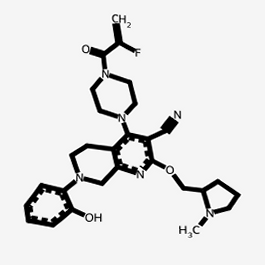 C=C(F)C(=O)N1CCN(c2c(C#N)c(OCC3CCCN3C)nc3c2CCN(c2ccccc2O)C3)CC1